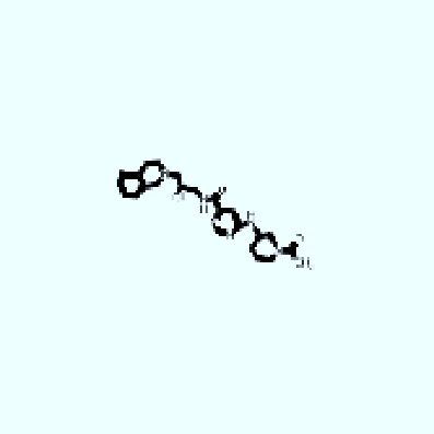 CC(=O)N1CCCC(Nc2cc(C(=O)NCC(O)CN3CCc4ccccc4C3)ncn2)C1